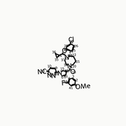 COc1ccc([C@@H]2CN(c3ccc(C#N)nn3)C[C@H]2C(=O)N2CCC[C@@H](c3ccc(Cl)cc3)N(C(=O)C3CC3)CC2)c(F)c1